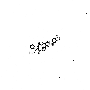 Cc1cnc(Nc2ccc3c(c2)CCCO3)nc1-n1ccc(C(=O)NC(CO)c2ccccc2)c1